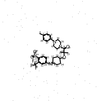 Cc1ccc(N2CCN(C(=O)C(C)(C)OC3CCC(Nc4ccc([N+](=O)[O-])c(C(F)(F)F)c4)CC3)CC2)cc1